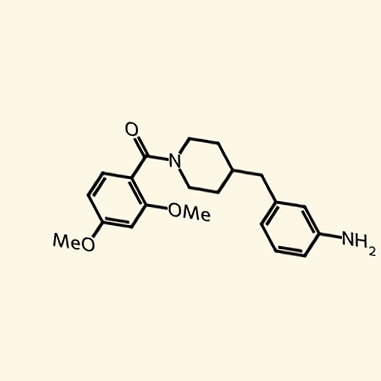 COc1ccc(C(=O)N2CCC(Cc3cccc(N)c3)CC2)c(OC)c1